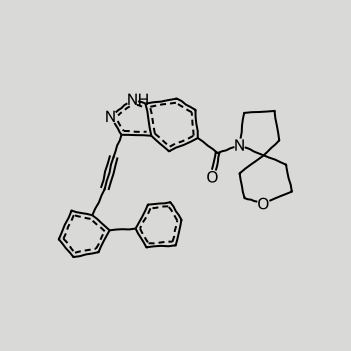 O=C(c1ccc2[nH]nc(C#Cc3ccccc3-c3ccccc3)c2c1)N1CCCC12CCOCC2